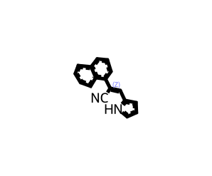 N#C/C(=C\c1ccc[nH]1)c1cccc2ccccc12